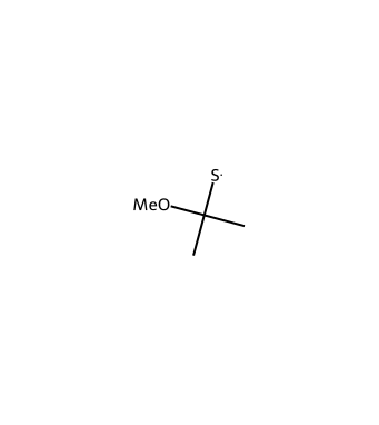 COC(C)(C)[S]